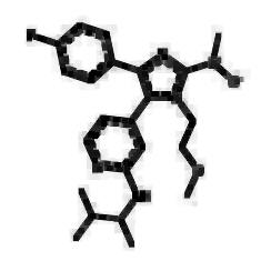 COCCn1c([S+](C)[O-])nc(-c2ccc(F)cc2)c1-c1ccnc(NC(C)C(C)C)c1